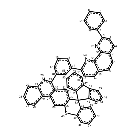 c1ccc(-c2ccc3ccc4ccc(-c5cccc(-c6nc7ccccc7c7cc8c(cc67)C6(c7ccccc7S8)c7ccccc7-c7ccccc76)c5)nc4c3n2)cc1